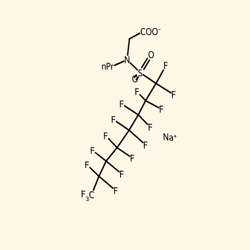 CCCN(CC(=O)[O-])S(=O)(=O)C(F)(F)C(F)(F)C(F)(F)C(F)(F)C(F)(F)C(F)(F)C(F)(F)C(F)(F)F.[Na+]